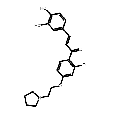 O=C(/C=C/c1ccc(O)c(O)c1)c1ccc(OCCN2CCCC2)cc1O